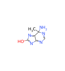 CC1(N)N=CN=C2N=C(O)N=C21